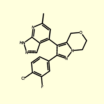 Cc1cc(-c2c(-c3ccc(Cl)c(F)c3)nn3c2COCC3)c2cn[nH]c2n1